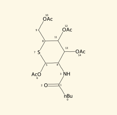 CCCCC(=O)NC1C(OC(C)=O)SC(COC(C)=O)C(OC(C)=O)C1OC(C)=O